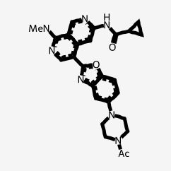 CNc1ncc(-c2nc3cc(N4CCN(C(C)=O)CC4)ccc3o2)c2cc(NC(=O)C3CC3)ncc12